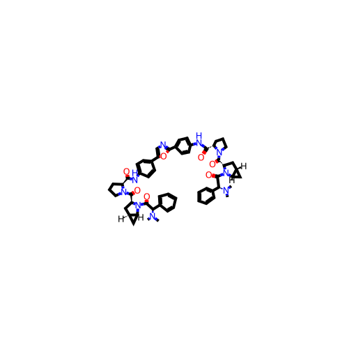 CN(C)[C@@H](C(=O)N1[C@H](C(=O)N2CCC[C@H]2C(=O)Nc2ccc(-c3cnc(-c4ccc(NC(=O)[C@@H]5CCCN5C(=O)[C@@H]5C[C@@H]6C[C@@H]6N5C(=O)[C@@H](c5ccccc5)N(C)C)cc4)o3)cc2)C[C@@H]2C[C@@H]21)c1ccccc1